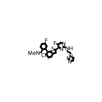 CN[C@@H](c1ccc(F)cc1-c1cccc2cc(-c3nc(NCCn4ccnn4)ncc3F)sc12)C(F)(F)F